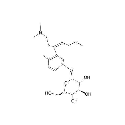 CCC/C=C(/CCN(C)C)c1cc(OC2O[C@H](CO)[C@@H](O)[C@H](O)[C@H]2O)ccc1C